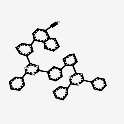 N#Cc1ccc(-c2cccc(-c3nc(-c4ccccc4)nc(-c4cccc(-c5ccccc5-c5nc(-c6ccccc6)nc(-c6ccccc6)n5)c4)n3)c2)c2ccccc12